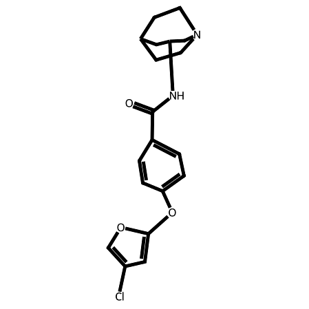 O=C(NC1CC2CCN(CC2)C1)c1ccc(Oc2cc(Cl)co2)cc1